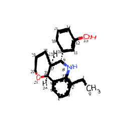 CCc1cccc2c1N[C@@H](C1C=C(O)C=CC1)[C@@H]1CCCO[C@H]21